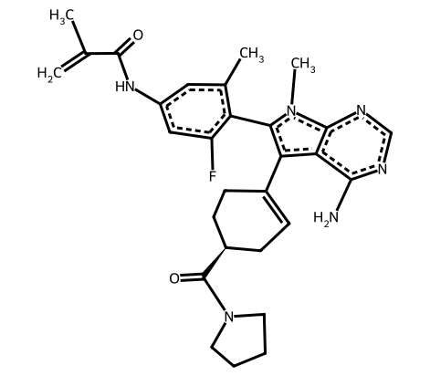 C=C(C)C(=O)Nc1cc(C)c(-c2c(C3=CC[C@@H](C(=O)N4CCCC4)CC3)c3c(N)ncnc3n2C)c(F)c1